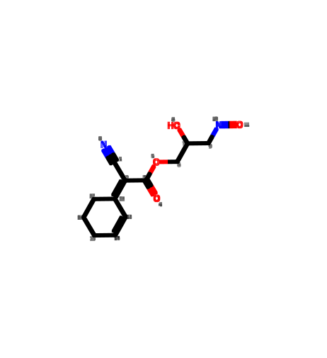 N#C/C(C(=O)OCC(O)CN=O)=C1/C=CCCC1